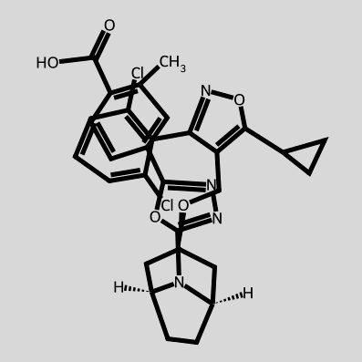 Cc1cc(-c2nnc(N3[C@@H]4CC[C@H]3C[C@@H](OCc3c(-c5c(Cl)cccc5Cl)noc3C3CC3)C4)o2)ccc1C(=O)O